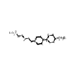 CCOC(=O)C1CCN(C2CCN(CCOCCC(=O)O)CC2)CC1